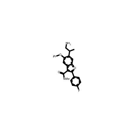 CNC(=O)c1c(-c2ccc(F)cc2)oc2cc(C(C)CN)c(OC(C)C)cc12